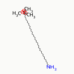 CCO[Si](CCCCCCCCCCCCCCCCCCCCCCCCCCCCCCCCCCCCCCN)(OCC)OCC